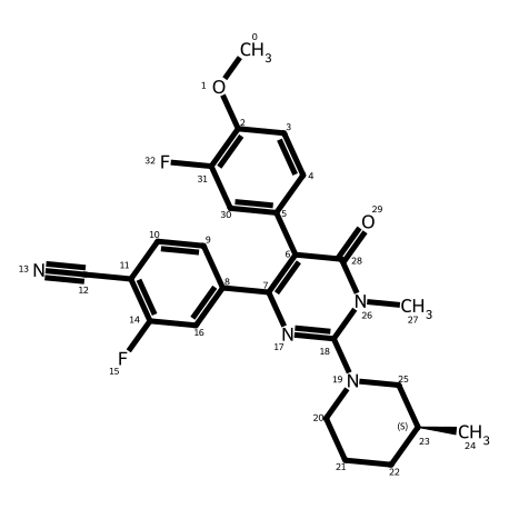 COc1ccc(-c2c(-c3ccc(C#N)c(F)c3)nc(N3CCC[C@H](C)C3)n(C)c2=O)cc1F